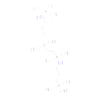 CC(C)(C)CCCNC(C)(C)CCC(C)(C)OCCCNC(C)(C)C